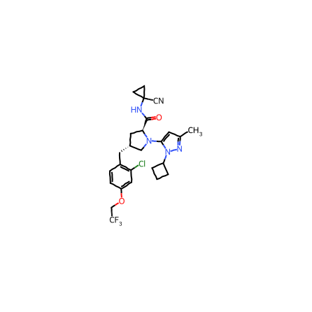 Cc1cc(N2C[C@H](Cc3ccc(OCC(F)(F)F)cc3Cl)C[C@H]2C(=O)NC2(C#N)CC2)n(C2CCC2)n1